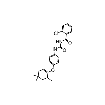 CC1CC(C)(C)CC=C1Oc1ccc(NC(=O)NC(=O)c2ccccc2Cl)cc1